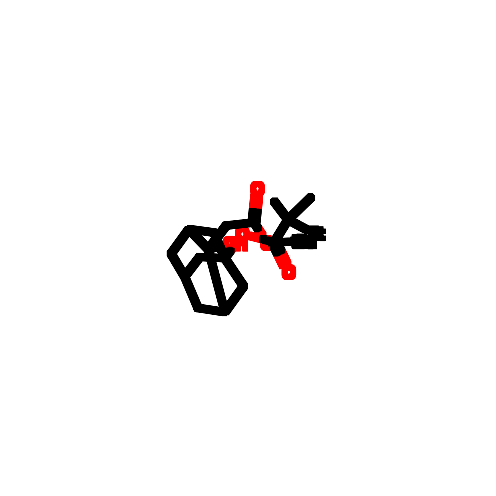 CCC(C)(C)C(=O)OC12CC3CC(C1)C(O)(CC(=O)OC(C)(C)C)C(C3)C2